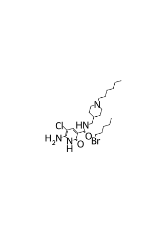 CCCCCBr.CCCCCCN1CCC(CNC(=O)c2cc(Cl)c(N)[nH]c2=O)CC1